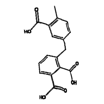 Cc1ccc(Cc2cccc(C(=O)O)c2C(=O)O)cc1C(=O)O